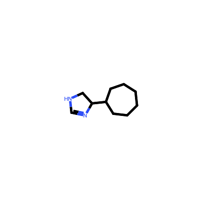 C1=NC(C2CCCCCC2)CN1